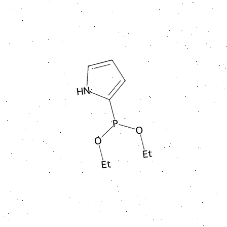 CCOP(OCC)c1ccc[nH]1